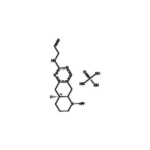 C=CCNc1ncc2c(n1)C[C@@H]1CCCN(CCC)C1C2.O=P(O)(O)O